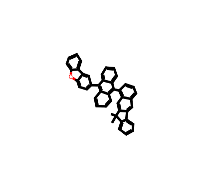 CC1(C)c2ccccc2-c2cc3cccc(-c4c5ccccc5c(-c5ccc6oc7ccccc7c6c5)c5ccccc45)c3cc21